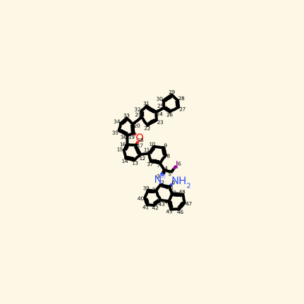 Nc1c(/N=C(\CI)c2cccc(-c3cccc4c3oc3c(-c5ccc(-c6ccccc6)cc5)cccc34)c2)c2ccccc2c2ccccc12